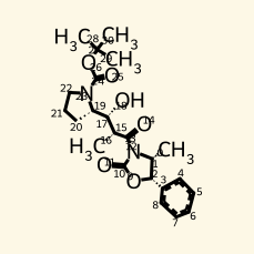 C[C@@H]1[C@H](c2ccccc2)OC(=O)N1C(=O)[C@H](C)[C@@H](O)[C@@H]1CCCN1C(=O)OC(C)(C)C